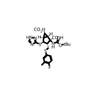 Cc1cc(SC[C@@H]2[C@@H](Sc3nc[nH]n3)[C@H]3[C@H](C(=O)O)[C@H]3[C@]2(NC(=O)OC(C)(C)C)C(=O)O)ccc1F